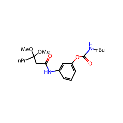 CCCCNC(=O)Oc1cccc(NC(=O)CC(CCC)(OC)OC)c1